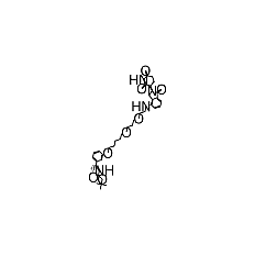 C[C@@H](NC(=O)OC(C)(C)C)c1cccc(OCCCCCOCCCOCCNc2cccc3c2CN(C2CCC(=O)NC2=O)C3=O)c1